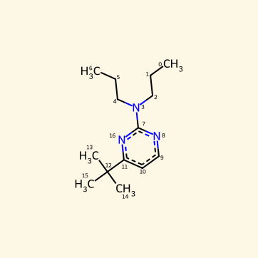 CCCN(CCC)c1nccc(C(C)(C)C)n1